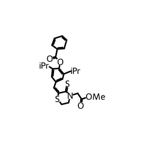 COC(=O)CN1CCS/C(=C/c2cc(C(C)C)c(OC(=O)c3ccccc3)c(C(C)C)c2)C1=S